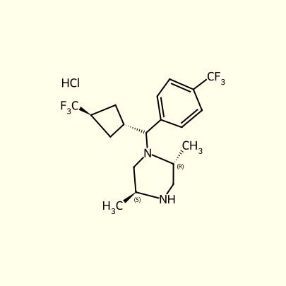 C[C@@H]1CN[C@@H](C)CN1C(c1ccc(C(F)(F)F)cc1)[C@H]1C[C@H](C(F)(F)F)C1.Cl